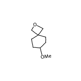 COC1CCC2(CC1)COC2